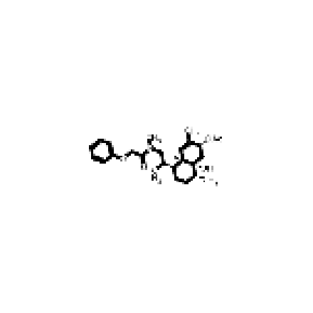 CC(=O)O[C@@H]1[CH][C@@]2(O)[C@H](C)CC[C@@H](C(C)CN(C)C(=O)COc3ccccc3)[C@H]2C=C1C